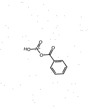 O=C(O[N+](=O)O)c1ccccc1